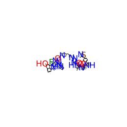 CCc1cccc2cc(O)cc(-c3ncc4c(N5CC6CCC(C5)N6)nc(OCCN5CCC(CC6CN(c7cnc(C(=O)N[C@H](C(=O)N8CCC[C@H]8C(=O)N[C@@H](C)c8ccc(-c9scnc9C)cc8)C(C)(C)C)cn7)C6)CC5)nc4c3F)c12